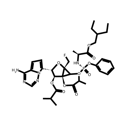 CCC(CC)COC(=O)[C@H](C)N[P@@](=O)(Oc1ccccc1)OC1[C@@]2(CF)O[C@@H](c3ccc4c(N)ncnn34)[C@H](OC(=O)C(C)C)[C@@]12OC(=O)C(C)C